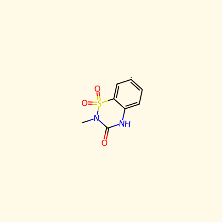 CN1C(=O)Nc2cc[c]cc2S1(=O)=O